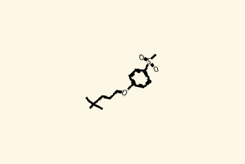 CC(C)(C)CCCOc1ccc(S(C)(=O)=O)cc1